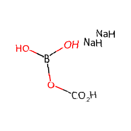 O=C(O)OB(O)O.[NaH].[NaH]